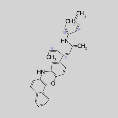 C=C/C=C\C(=C/C)NC(=C)/C=C(\C=C/C)c1ccc2c(c1)Nc1ccc3ccccc3c1O2